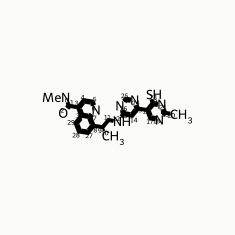 CNC(=O)c1ccnc2c([C@H](C)CNc3cc(-c4cnc(C)nc4S)ncn3)cccc12